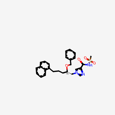 CS(=O)(=O)NC(=O)c1cn(C[C@H](CCCc2cccc3ccccc23)OCc2ccccc2)cn1